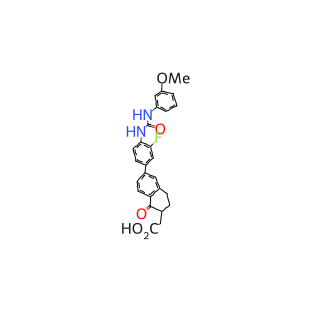 COc1cccc(NC(=O)Nc2ccc(-c3ccc4c(c3)CCC(CC(=O)O)C4=O)cc2F)c1